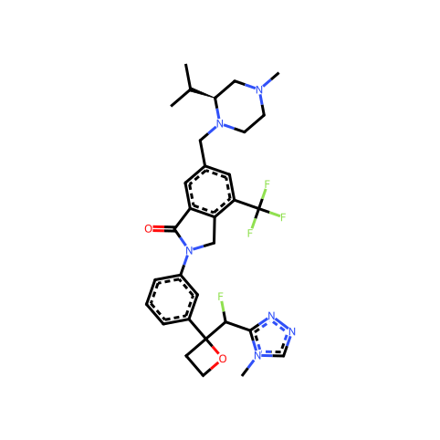 CC(C)[C@H]1CN(C)CCN1Cc1cc2c(c(C(F)(F)F)c1)CN(c1cccc(C3(C(F)c4nncn4C)CCO3)c1)C2=O